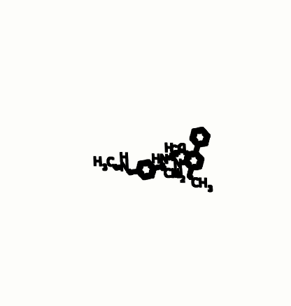 C=C(NC(=C)c1ccc(CNCC)cc1)Nc1c(CC)ccc(-c2ccccc2)c1C